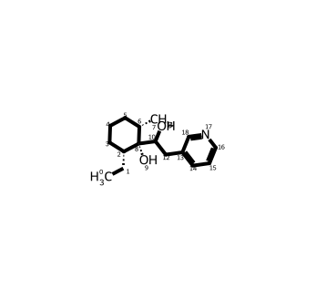 CC[C@@H]1CCC[C@H](C)[C@@]1(O)C(O)Cc1cccnc1